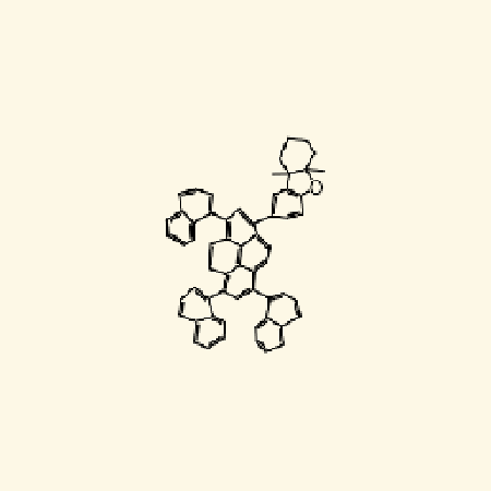 CC12CCCCC1(C)c1cc(-c3cc(-c4cccc5ccccc45)c4ccc5c(-c6cccc7ccccc67)cc(-c6cccc7ccccc67)c6ccc3c4c65)ccc1O2